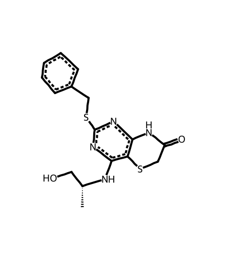 C[C@H](CO)Nc1nc(SCc2ccccc2)nc2c1SCC(=O)N2